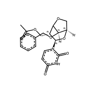 CC(=O)OC[C@@H]1C2OC[C@@H](O[C@H]1n1ccc(=O)[nH]c1=O)[C@H]2OCc1ccccc1